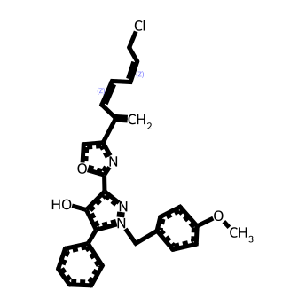 C=C(/C=C\C=C/CCl)c1coc(-c2nn(Cc3ccc(OC)cc3)c(-c3ccccc3)c2O)n1